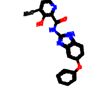 COc1ccnc(C(=O)Nc2nc3cc(Oc4ccccc4)ccc3[nH]2)c1O